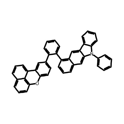 c1ccc(-n2c3ccccc3c3cc4c(-c5ccccc5-c5ccc6c(c5)-c5cccc7cccc(c57)O6)cccc4cc32)cc1